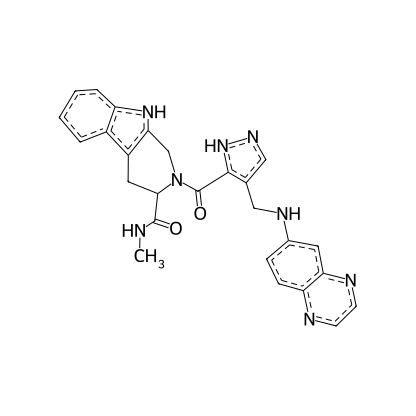 CNC(=O)C1Cc2c([nH]c3ccccc23)CN1C(=O)c1[nH]ncc1CNc1ccc2nccnc2c1